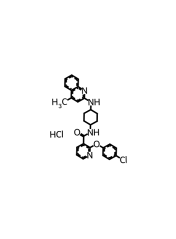 Cc1cc(NC2CCC(NC(=O)c3cccnc3Oc3ccc(Cl)cc3)CC2)nc2ccccc12.Cl